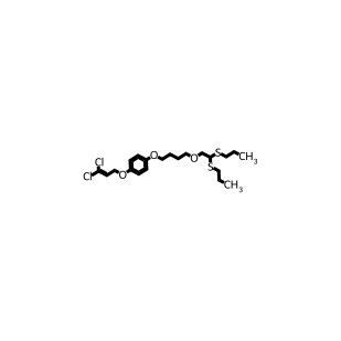 CCCSC(COCCCCOc1ccc(OCC=C(Cl)Cl)cc1)SCCC